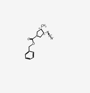 C[C@H]1CN(C(=O)OCc2ccccc2)C[C@H]1N=[N+]=[N-]